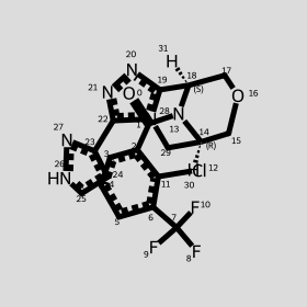 O=C(c1cccc(C(F)(F)F)c1Cl)N1[C@H]2COC[C@@H]1c1nnc(-c3cc[nH]n3)n1C2